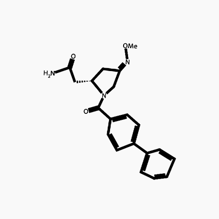 CO/N=C1\C[C@@H](CC(N)=O)N(C(=O)c2ccc(-c3ccccc3)cc2)C1